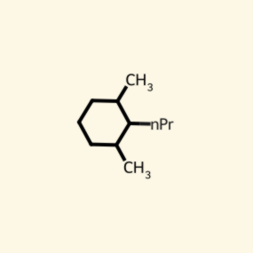 CCCC1C(C)CCCC1C